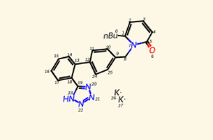 CCCCc1cccc(=O)n1Cc1ccc(-c2ccccc2-c2nnn[nH]2)cc1.[K].[K]